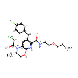 COCCOCCNC(=O)c1nc2c(cc1Cc1ccc(F)cc1)N(C(=O)CCl)[C@@H](C)CO2